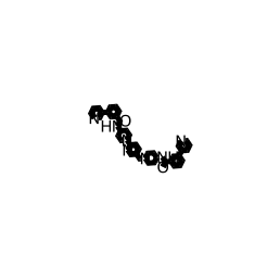 O=C(NC1CCN(Cc2ccc(N3CCC(NC(=O)c4cccc(-c5cccnc5)c4)CC3)nc2)CC1)c1cccc(-c2cccnc2)c1